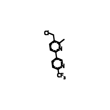 Cc1nc(-c2ccc(C(F)(F)F)nc2)ccc1CCl